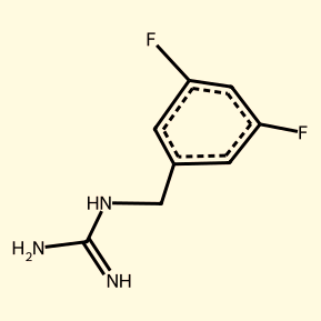 N=C(N)NCc1cc(F)cc(F)c1